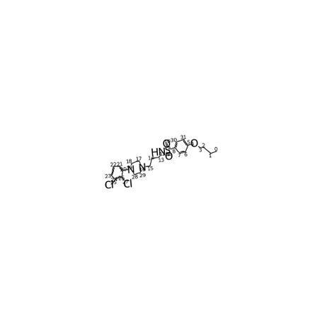 CCCCOc1ccc(S(=O)(=O)NCCCN2CCN(c3cccc(Cl)c3Cl)CC2)cc1